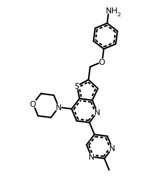 Cc1ncc(-c2cc(N3CCOCC3)c3sc(COc4ccc(N)cc4)cc3n2)cn1